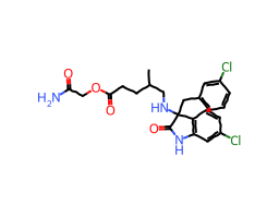 CC(CCC(=O)OCC(N)=O)CNC1(Cc2cccc(Cl)c2)C(=O)Nc2cc(Cl)ccc21